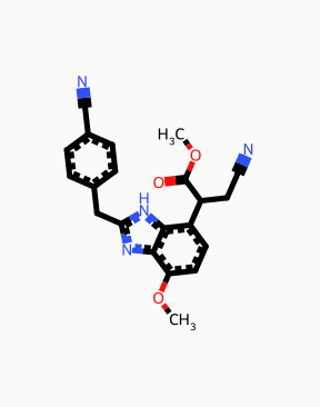 COC(=O)C(CC#N)c1ccc(OC)c2nc(Cc3ccc(C#N)cc3)[nH]c12